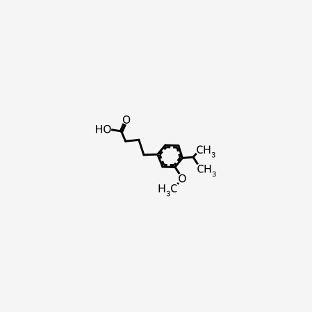 COc1cc(CCCC(=O)O)ccc1C(C)C